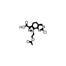 CC(=O)OCCn1nc(C(=O)O)c2c1-c1nc(Cl)ncc1CC2